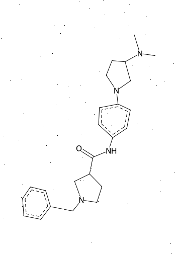 CN(C)C1CCN(c2ccc(NC(=O)C3CCN(Cc4ccccc4)C3)cc2)C1